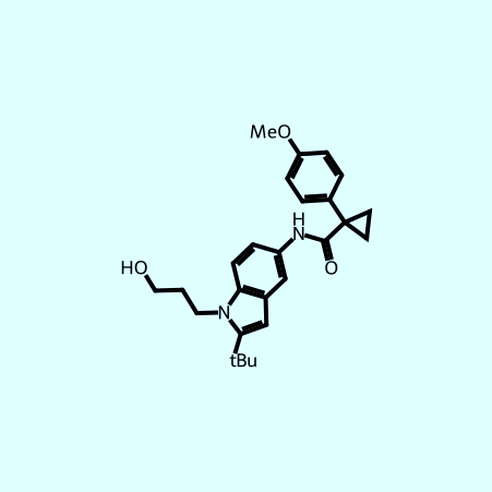 COc1ccc(C2(C(=O)Nc3ccc4c(c3)cc(C(C)(C)C)n4CCCO)CC2)cc1